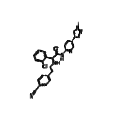 Cn1cc(-c2ccc(NC(=O)[C@@H](NCCc3ccc(C#N)cc3)c3ccccc3Cl)nc2)cn1